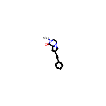 CCCCN1CCn2cc(C#Cc3ccccc3)cc2C1=O